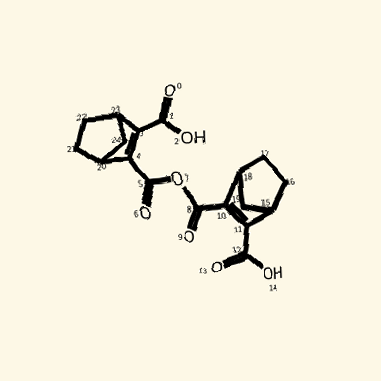 O=C(O)C1=C(C(=O)OC(=O)C2=C(C(=O)O)C3CCC2C3)C2CCC1C2